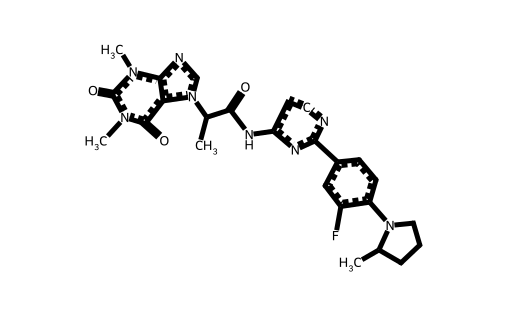 CC1CCCN1c1ccc(-c2nccc(NC(=O)C(C)n3cnc4c3c(=O)n(C)c(=O)n4C)n2)cc1F